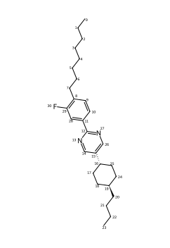 CCCCCCCCc1ccc(-c2ncc([C@H]3CC[C@H](CCCC)CC3)cn2)cc1F